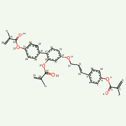 C=C(C)C(=O)Oc1ccc(/C=C/COc2ccc(-c3ccc(OC(=O)C(=C)C)cc3)c(OC(=O)C(=C)C)c2)cc1